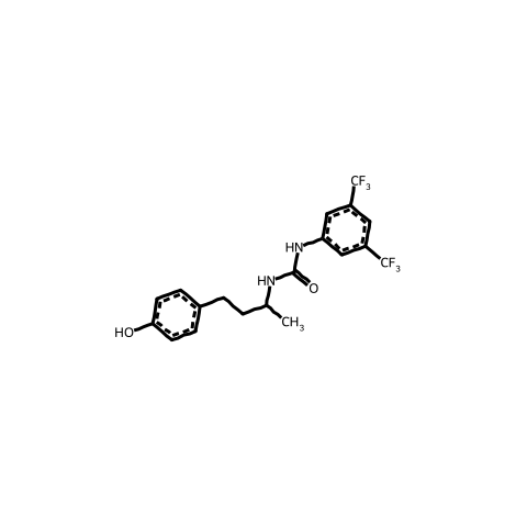 CC(CCc1ccc(O)cc1)NC(=O)Nc1cc(C(F)(F)F)cc(C(F)(F)F)c1